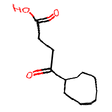 O=C(O)CCC(=O)C1CCCCC1